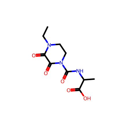 CCN1CCN(C(=O)NC(C)C(=O)O)C(=O)C1=O